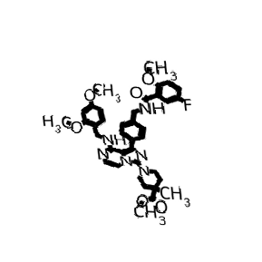 COC(=O)C1(C)CCN(c2nc(-c3ccc(CNC(=O)c4cc(F)ccc4OC)cc3)c3c(NCc4ccc(OC)cc4OC)nccn23)CC1